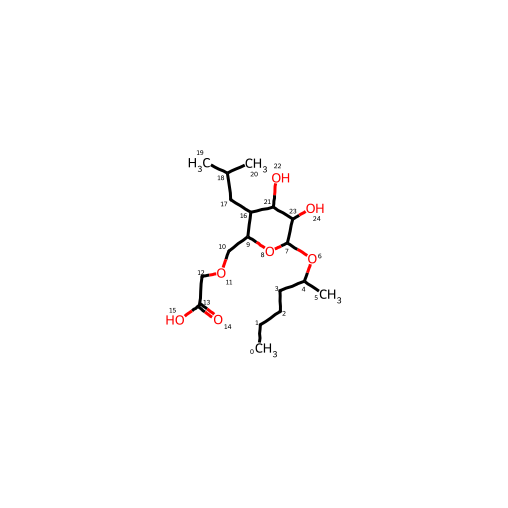 CCCCC(C)OC1OC(COCC(=O)O)C(CC(C)C)C(O)C1O